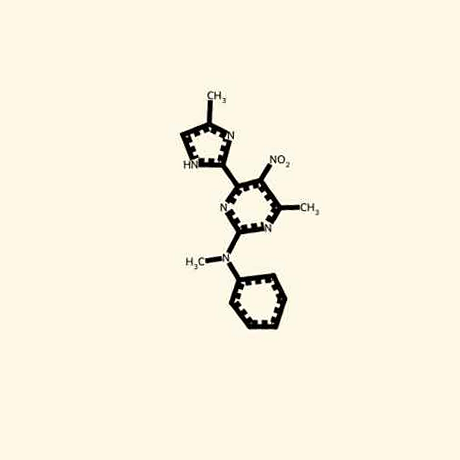 Cc1c[nH]c(-c2nc(N(C)c3ccccc3)nc(C)c2[N+](=O)[O-])n1